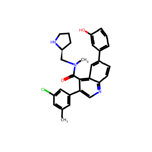 Cc1cc(Cl)cc(-c2cnc3ccc(-c4cccc(O)c4)cc3c2C(=O)N(C)C[C@@H]2CCCN2)c1